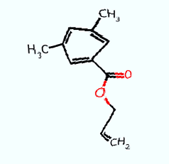 C=CCOC(=O)c1cc(C)cc(C)c1